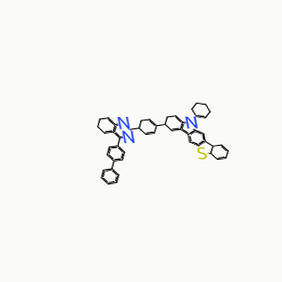 C1=CC2Sc3cc4c5c(n(C6=CCCCC6)c4cc3C2C=C1)=CCC(C1=CCC(c2nc(-c3ccc(-c4ccccc4)cc3)c3c(n2)=CCCC=3)C=C1)C=5